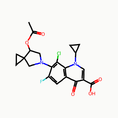 CC(=O)OC1CN(c2c(F)cc3c(=O)c(C(=O)O)cn(C4CC4)c3c2Cl)CC12CC2